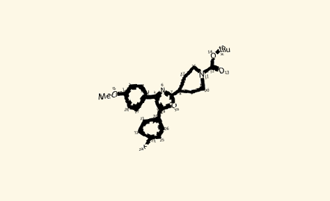 COc1ccc(-c2nc(C3CCN(C(=O)OC(C)(C)C)CC3)oc2-c2ccc(F)cc2)cc1